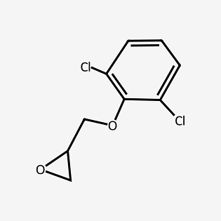 Clc1cccc(Cl)c1OCC1CO1